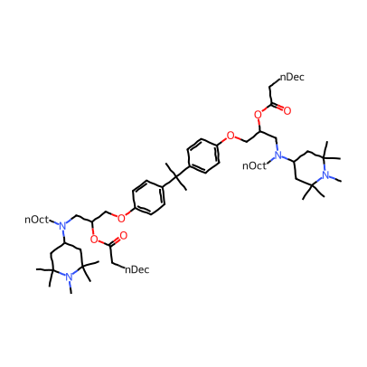 CCCCCCCCCCCC(=O)OC(COc1ccc(C(C)(C)c2ccc(OCC(CN(CCCCCCCC)C3CC(C)(C)N(C)C(C)(C)C3)OC(=O)CCCCCCCCCCC)cc2)cc1)CN(CCCCCCCC)C1CC(C)(C)N(C)C(C)(C)C1